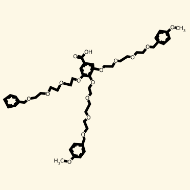 COc1ccc(COCCOCCOCCOc2cc(C(=O)O)cc(OCCOCCOCCOCc3ccccc3)c2OCCOCCOCCOCc2ccc(OC)cc2)cc1